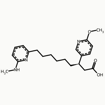 CNc1cccc(CCCCCC[C@H](CC(=O)O)c2ccc(OC)nc2)n1